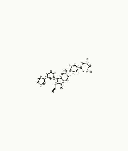 C=CCn1c(=O)c2cnc(Nc3ccc(N4C[C@@H](C)N[C@@H](C)C4)cc3)nc2n1-c1cccc(-c2cnccn2)n1